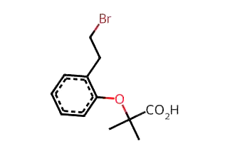 CC(C)(Oc1ccccc1CCBr)C(=O)O